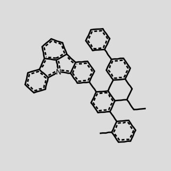 CCC1Cc2ccc(-c3ccccc3)cc2-c2c(-c3ccc4c5cccc6c7ccccc7n(c4c3)c65)ccc(-c3ccccc3C)c21